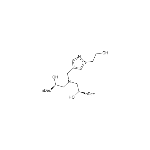 CCCCCCCCCC[C@@H](O)CN(Cc1cnn(CCO)c1)C[C@H](O)CCCCCCCCCC